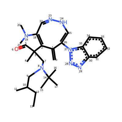 C=C1/C(C(C)(C=O)CN(CC(C)CC)C(C)(C)C)=C(N(C)C)\C=N/N/C=C\1n1nnc2ccccc21